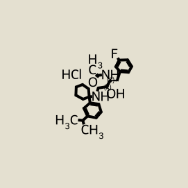 CC(=O)N[C@@H](Cc1cccc(F)c1)[C@H](O)CNC1(c2cccc(C(C)C)c2)CCCCC1.Cl